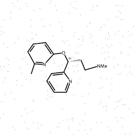 CNCC[C@@H](Oc1cccc(C)n1)c1ccccn1